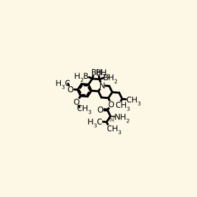 BC1(B)c2cc(OC)c(OC)cc2C2CC(OC(=O)[C@@H](N)C(C)C)C(CC(C)C)CN2C1(B)B